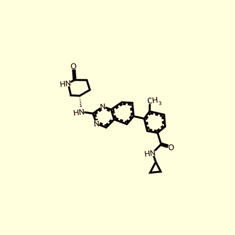 Cc1ccc(C(=O)NC2CC2)cc1-c1ccc2nc(N[C@H]3CCC(=O)NC3)ncc2c1